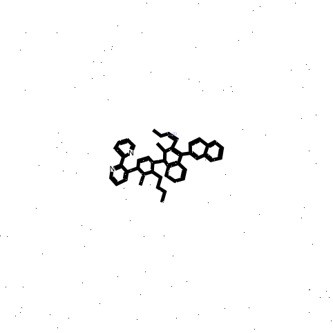 CC/C=C\C1=C(c2ccc3ccccc3c2)C2=C(CCC=C2)C(C2C=CC(c3cccnc3-c3ccccn3)C(C)C2CCCC)C1C